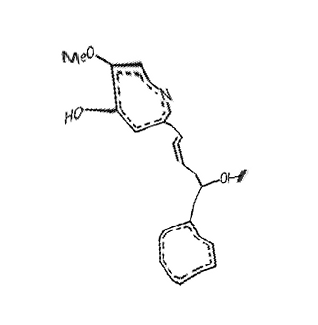 COc1cnc(C=CC(O)c2ccccc2)cc1O